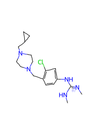 C/N=C(\NC)Nc1ccc(CN2CCN(CC3CC3)CC2)c(Cl)c1